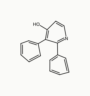 Oc1ccnc(-c2ccccc2)c1-c1ccccc1